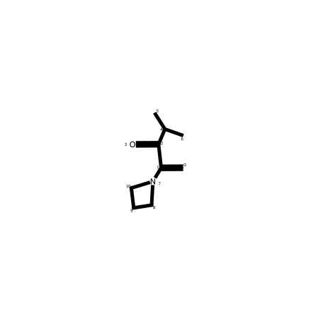 C=C(C(=O)C(C)C)N1CCC1